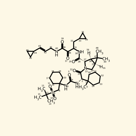 CC1([C@H](NC(=O)NC2(CS(=O)(=O)C(C)(C)C)CCCCC2)C(=O)N2C[C@H]3[C@@H]([C@H]2C(=O)NC(CC2CC2)C(=O)C(=O)NC/C=C/C2CC2)C3(C)C)CCCCC1